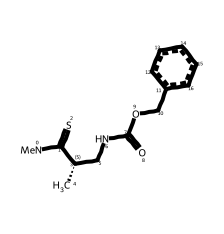 CNC(=S)[C@@H](C)CNC(=O)OCc1ccccc1